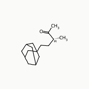 CC(=O)[C@H](C)CCC12CC3CC(CC(C3)C1)C2